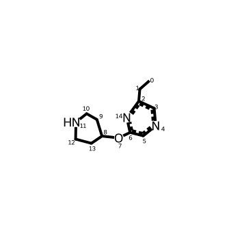 CCc1cncc(OC2CCNCC2)n1